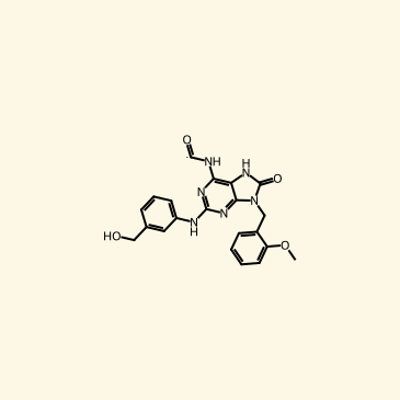 COc1ccccc1Cn1c(=O)[nH]c2c(N[C]=O)nc(Nc3cccc(CO)c3)nc21